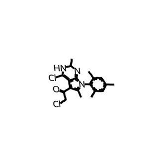 Cc1cc(C)c(-n2c(C)c(C(=O)CCl)c3c2=NC(C)NC=3Cl)c(C)c1